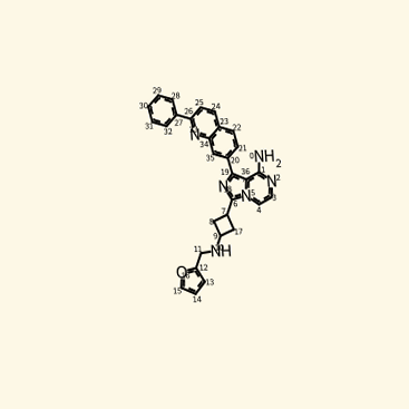 Nc1nccn2c(C3CC(NCc4ccco4)C3)nc(-c3ccc4ccc(-c5ccccc5)nc4c3)c12